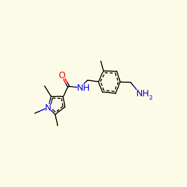 Cc1cc(CN)ccc1CNC(=O)c1cc(C)n(C)c1C